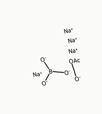 CC(=O)O[O-].[Na+].[Na+].[Na+].[Na+].[O-]B([O-])[O-]